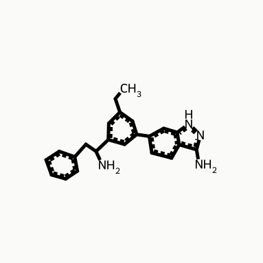 CCc1cc(-c2ccc3c(N)n[nH]c3c2)cc(C(N)Cc2ccccc2)c1